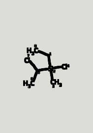 CC[Si](C)(Cl)C(C)Cl